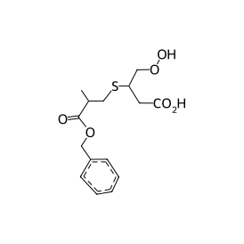 CC(CSC(COO)CC(=O)O)C(=O)OCc1ccccc1